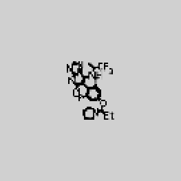 CCC(Oc1cc(F)c(-c2c(Cl)nc3ncnn3c2N[C@@H](C)C(F)(F)F)c(F)c1)N1CCCC1